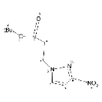 CC(C)(C)OC(=O)CCn1ccc([N+](=O)[O-])n1